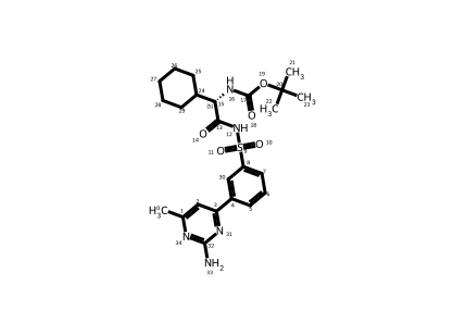 Cc1cc(-c2cccc(S(=O)(=O)NC(=O)[C@@H](NC(=O)OC(C)(C)C)C3CCCCC3)c2)nc(N)n1